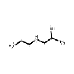 CCCNCC(N)O